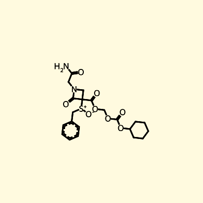 NC(=O)CN1CC(C(=O)OCOC(=O)OC2CCCCC2)([S+]([O-])Cc2ccccc2)C1=O